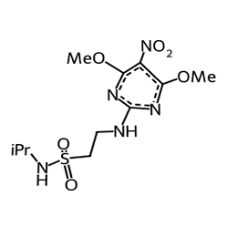 COc1nc(NCCS(=O)(=O)NC(C)C)nc(OC)c1[N+](=O)[O-]